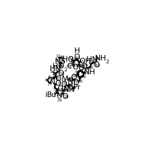 CCC(C)[C@@H]([C@@H](CC(=O)N1CCC[C@H]1[C@H](OC)[C@@H](C)C(=O)NCc1nccs1)OC)N(C)C(=O)CNC(=O)[C@H](C(C)C)N(C)C(=O)OCc1ccc(O[C@@H]2OC(C(=O)O)[C@@H](O)[C@H](O)C2O)c(NC(=O)CCC(=O)NN)c1